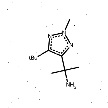 Cn1nc(C(C)(C)C)c(C(C)(C)N)n1